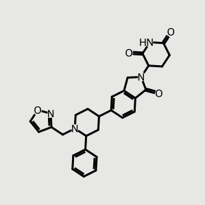 O=C1CCC(N2Cc3cc(C4CCN(Cc5ccon5)C(c5ccccc5)C4)ccc3C2=O)C(=O)N1